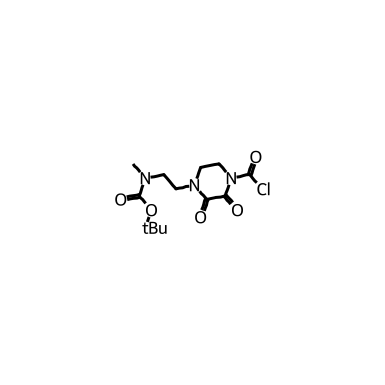 CN(CCN1CCN(C(=O)Cl)C(=O)C1=O)C(=O)OC(C)(C)C